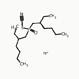 CCCCC(CC)CP(=O)(CC(CC)CCCC)SC#N.[H+]